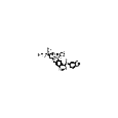 CC(C)[C@@](N)(CCOc1cc2ncnc(Nc3ccc4scnc4c3)c2cc1S(=O)(=O)C(C)(C)C)C(=O)O.Cl.Cl